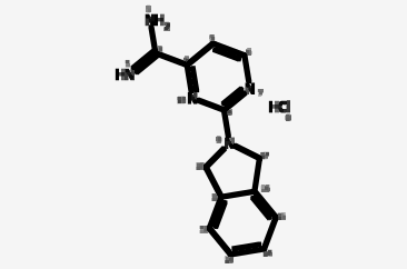 Cl.N=C(N)c1ccnc(N2Cc3ccccc3C2)n1